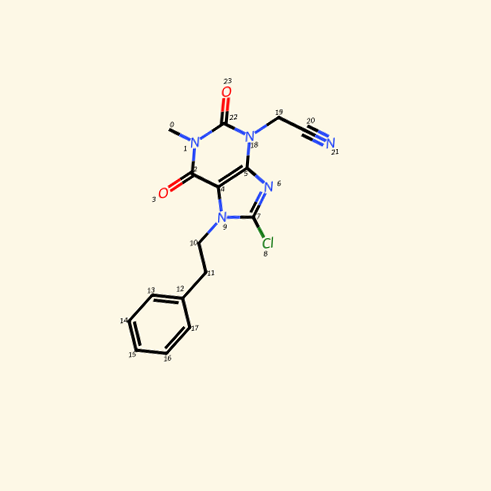 Cn1c(=O)c2c(nc(Cl)n2CCc2ccccc2)n(CC#N)c1=O